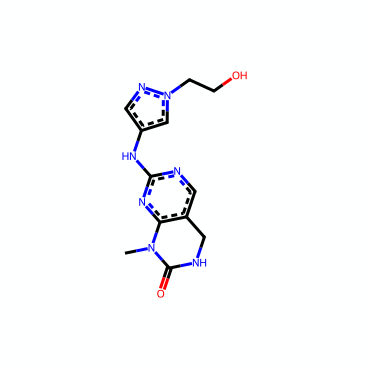 CN1C(=O)NCc2cnc(Nc3cnn(CCO)c3)nc21